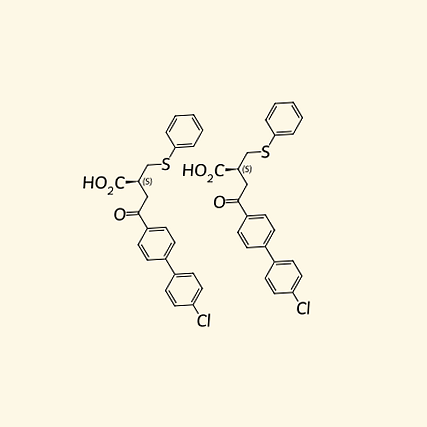 O=C(C[C@H](CSc1ccccc1)C(=O)O)c1ccc(-c2ccc(Cl)cc2)cc1.O=C(C[C@H](CSc1ccccc1)C(=O)O)c1ccc(-c2ccc(Cl)cc2)cc1